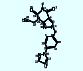 Cn1c(=O)c2cn(Cc3ccc(-n4cncn4)cc3)nc2n(CC(C)(C)C)c1=O